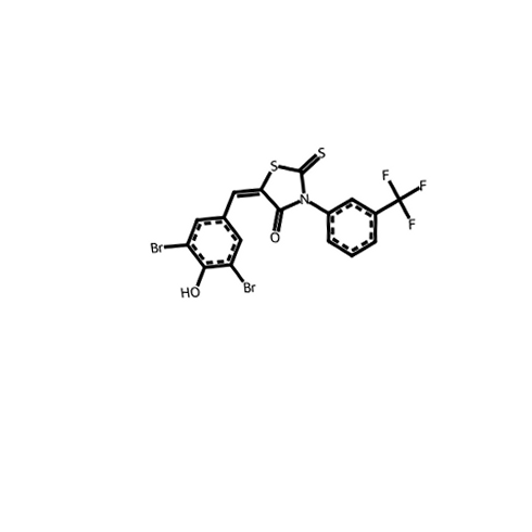 O=C1/C(=C\c2cc(Br)c(O)c(Br)c2)SC(=S)N1c1cccc(C(F)(F)F)c1